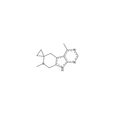 Cc1ncnc2[nH]c3c(c12)CC1(CC1)N(C)C3